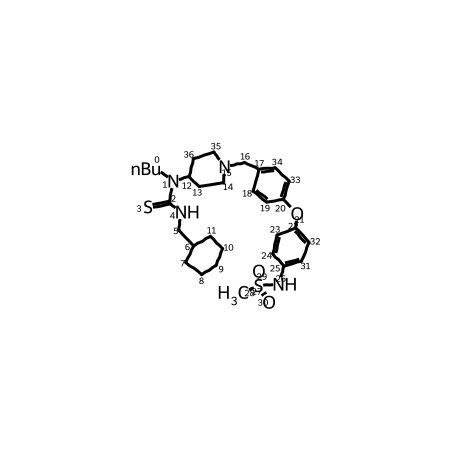 CCCCN(C(=S)NCC1CCCCC1)C1CCN(Cc2ccc(Oc3ccc(NS(C)(=O)=O)cc3)cc2)CC1